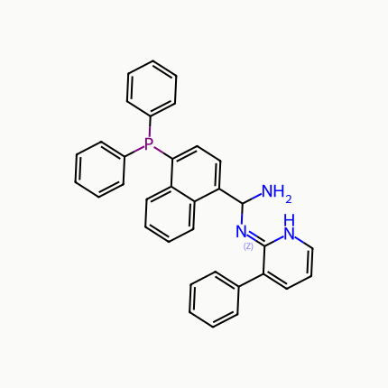 NC(/N=c1\[nH]cccc1-c1ccccc1)c1ccc(P(c2ccccc2)c2ccccc2)c2ccccc12